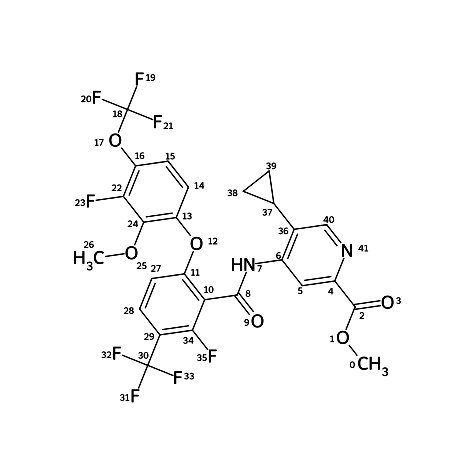 COC(=O)c1cc(NC(=O)c2c(Oc3ccc(OC(F)(F)F)c(F)c3OC)ccc(C(F)(F)F)c2F)c(C2CC2)cn1